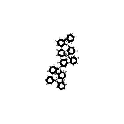 c1ccc(-n2c3ccccc3c3ccc4c(c5ccccc5n4-c4ccc([Si](c5ccccc5)(c5ccccc5)c5cccc(-n6c7ccccc7c7ccccc76)c5)cc4)c32)cc1